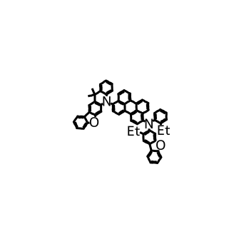 CCc1ccccc1N(c1cc2oc3ccccc3c2cc1CC)c1ccc2c3ccc(N4c5ccccc5C(C)(C)c5cc6c(cc54)oc4ccccc46)c4cccc(c5cccc1c52)c43